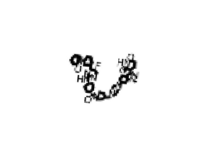 Cn1nc(C2CCC(=O)NC2=O)c2ccc(N3CCN(CC4CCN(C(=O)[C@H]5CC[C@H](Nc6ncc(F)c(-c7cccc(-n8ccccc8=O)c7)n6)CC5)CC4)CC3)cc21